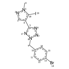 Cn1ncc(-c2nnn(Cc3ccc(Br)cc3)n2)c1I